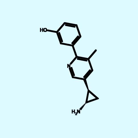 Cc1cc([C@H]2C[C@@H]2N)cnc1-c1cccc(O)c1